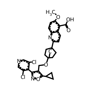 COc1ccc2nc(C34CCC(OCc5c(-c6c(Cl)cncc6Cl)noc5C5CC5)(CC3)CC4)ccc2c1C(=O)O